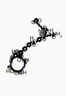 CO[C@H]1/C=C/O[C@@]2(C)Oc3c(C)c(O)c4c(=O)c(c5oc6cc(N7CCC(c8ccc(NC(=O)OCc9ccc(NC(=O)[C@H](CCCNC(N)=O)NC(=O)[C@@H](NC(=O)CCCCCN%10C(=O)C=CC%10=O)C(C)C)cc9)cc8)CC7)cc(O)c6nc-5c4c3C2=O)NC(=O)/C(C)=C\C=C\[C@H](C)[C@H](O)[C@@H](C)[C@@H](O)[C@@H](C)[C@H](O)[C@@H]1C